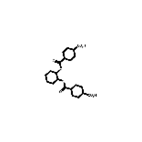 O=C(O)C1CCC(C(=O)OC2CCCCC2OC(=O)C2CCC(C(=O)O)CC2)CC1